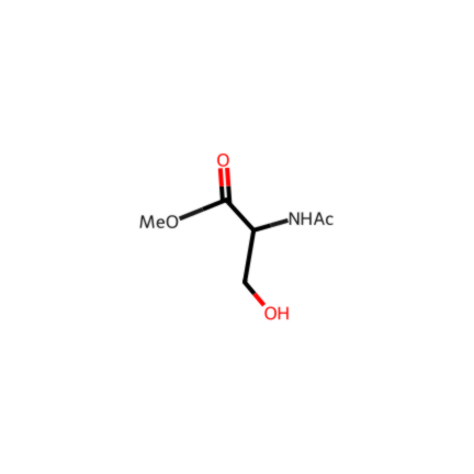 [CH2]OC(=O)C(CO)NC(C)=O